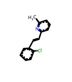 Cc1[c]ccc(C=Cc2ccccc2Cl)n1